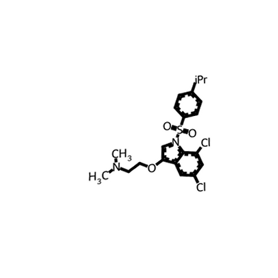 CC(C)c1ccc(S(=O)(=O)n2cc(OCCN(C)C)c3cc(Cl)cc(Cl)c32)cc1